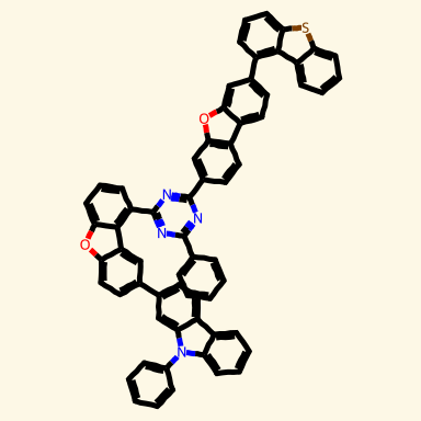 c1ccc(-c2nc(-c3ccc4c(c3)oc3cc(-c5cccc6sc7ccccc7c56)ccc34)nc(-c3cccc4oc5ccc(-c6ccc7c8ccccc8n(-c8ccccc8)c7c6)cc5c34)n2)cc1